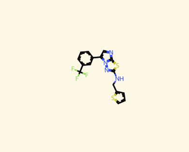 FC(F)(F)c1cccc(-c2cnc3sc(NCc4cccs4)nn23)c1